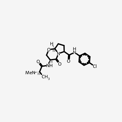 CN[C@@H](C)C(=O)N[C@H]1CO[C@H]2CCC(C(=O)Nc3ccc(Cl)cc3)N2C1=O